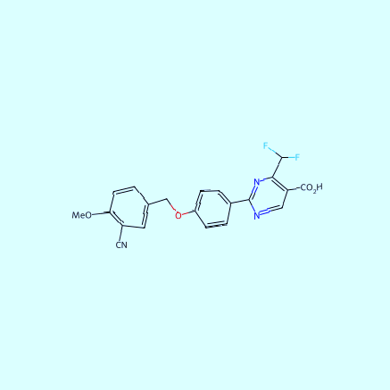 COc1ccc(COc2ccc(-c3ncc(C(=O)O)c(C(F)F)n3)cc2)cc1C#N